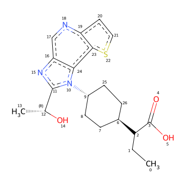 CCC(C(=O)O)[C@H]1CC[C@H](n2c([C@@H](C)O)nc3cnc4ccsc4c32)CC1